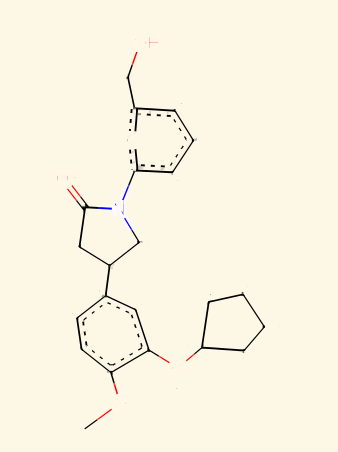 COc1ccc(C2CC(=O)N(c3cccc(CO)c3)C2)cc1OC1CCCC1